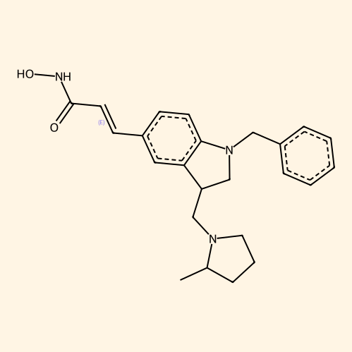 CC1CCCN1CC1CN(Cc2ccccc2)c2ccc(/C=C/C(=O)NO)cc21